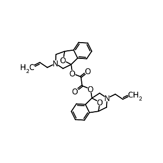 C=CCN1CC2OC(OC(=O)C(=O)OC34CN(CC=C)CC(O3)c3ccccc34)(C1)c1ccccc12